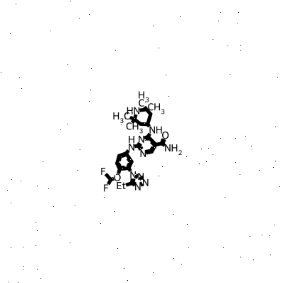 CCc1nnnn1-c1cc(Nc2ncc(C(N)=O)c(NC3CC(C)(C)NC(C)(C)C3)n2)ccc1OC(F)F